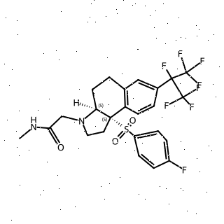 CNC(=O)CN1CC[C@]2(S(=O)(=O)c3ccc(F)cc3)c3ccc(C(F)(C(F)(F)F)C(F)(F)F)cc3CC[C@H]12